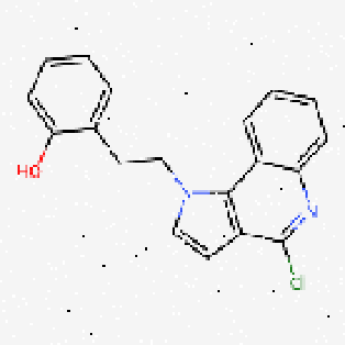 Oc1ccccc1CCn1ccc2c(Cl)nc3ccccc3c21